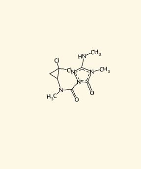 CNc1nn(C(=O)N(C)C2CC2(Cl)Cl)c(=O)n1C